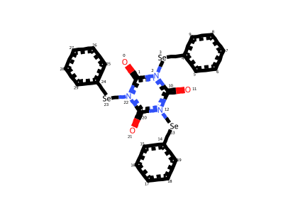 O=c1n([Se]c2ccccc2)c(=O)n([Se]c2ccccc2)c(=O)n1[Se]c1ccccc1